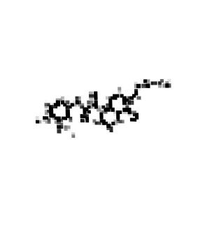 CC(=O)NCCn1ccc2c(NC(=O)Cc3ccc(Cl)c(C(F)(F)F)c3)cccc2c1=O